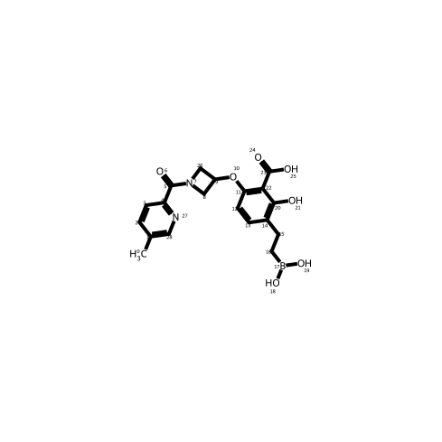 Cc1ccc(C(=O)N2CC(Oc3ccc(CCB(O)O)c(O)c3C(=O)O)C2)nc1